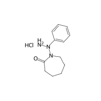 Cl.NN(c1ccccc1)N1CCCCCC1=O